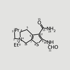 CC[N+]1(CC(C)C)CCc2c(sc(NC=O)c2C(N)=O)C1